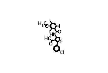 COc1c(I)cc(I)c(C(=O)Nc2csc(-c3cccc(Cl)c3)c2C(=O)O)c1I